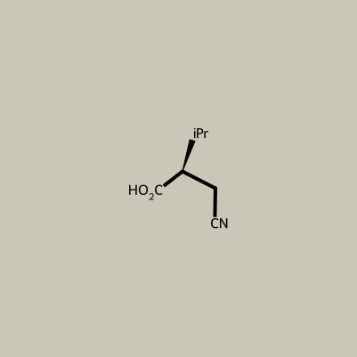 CC(C)[C@@H](CC#N)C(=O)O